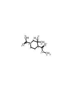 COC(=O)C1CCN(C(=O)O)CC1(C)C